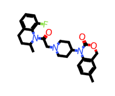 Cc1ccc2c(c1)COC(=O)N2C1CCN(CC(=O)N2c3c(F)cccc3CCC2C)CC1